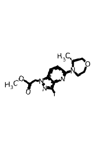 COC(=O)Cn1nc(I)c2nc(N3CCOC[C@H]3C)ccc21